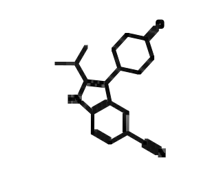 CC(C)c1[nH]c2ccc(C#N)cc2c1C1CCC(=O)CC1